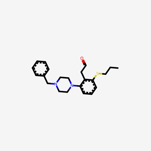 CCCSc1cccc(N2CCN(Cc3ccccc3)CC2)c1CC=O